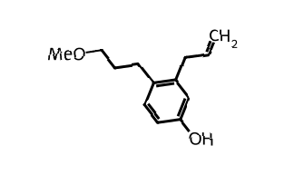 C=CCc1cc(O)ccc1CCCOC